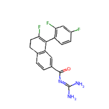 NC(N)=NC(=O)c1ccc2c(c1)C(c1ccc(F)cc1F)=C(F)CC2